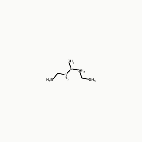 [SiH3]C[SiH2]N([SiH3])[SiH2]C[SiH3]